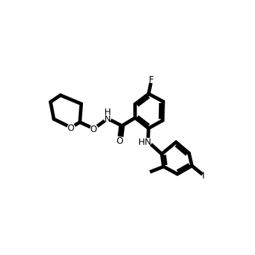 Cc1cc(I)ccc1Nc1ccc(F)cc1C(=O)NOC1CCCCO1